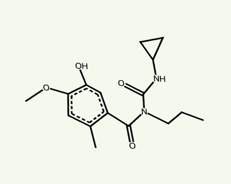 CCCN(C(=O)NC1CC1)C(=O)c1cc(O)c(OC)cc1C